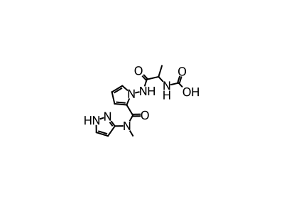 CC(NC(=O)O)C(=O)Nn1cccc1C(=O)N(C)c1cc[nH]n1